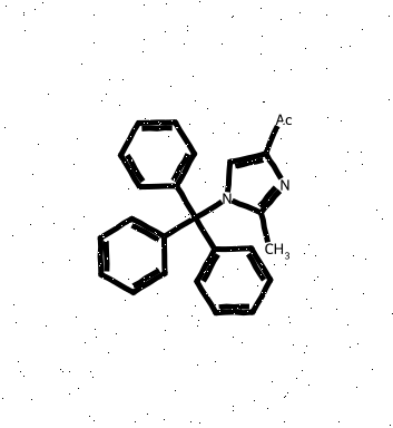 CC(=O)c1cn(C(c2ccccc2)(c2ccccc2)c2ccccc2)c(C)n1